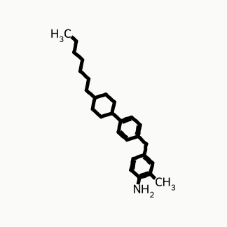 CCCCCCCC1CCC(c2ccc(Cc3ccc(N)c(C)c3)cc2)CC1